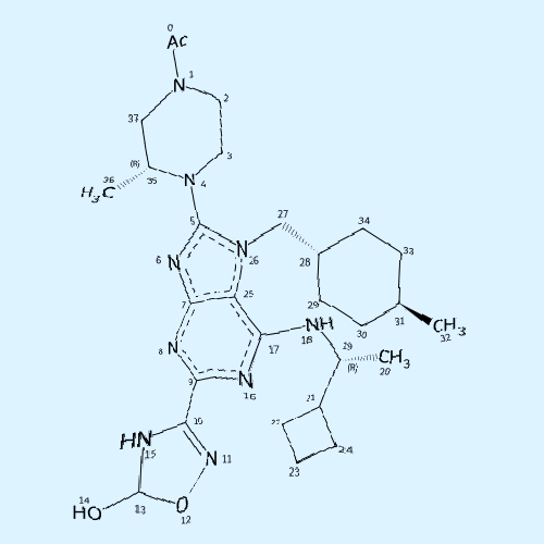 CC(=O)N1CCN(c2nc3nc(C4=NOC(O)N4)nc(N[C@H](C)C4CCC4)c3n2C[C@H]2CC[C@H](C)CC2)[C@H](C)C1